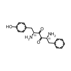 N[C@@H](Cc1ccccc1)C(=O)C(=O)[C@@H](N)Cc1ccc(O)cc1